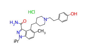 Cc1ccc2c(c(C(N)=O)nn2C(C)C)c1CC1CCN(CCc2ccc(O)cc2)CC1.Cl